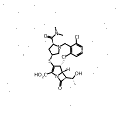 C[C@@H](O)[C@H]1C(=O)N2C(C(=O)O)=C(S[C@H]3C[C@@H](C(=O)N(C)C)N(Cc4c(Cl)cccc4Cl)C3)[C@H](C)[C@H]12